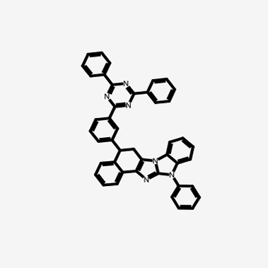 c1ccc(-c2nc(-c3ccccc3)nc(-c3cccc(C4Cc5c(nc6n(-c7ccccc7)c7ccccc7n56)-c5ccccc54)c3)n2)cc1